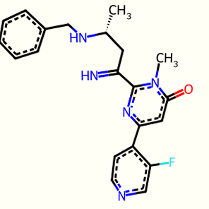 C[C@H](CC(=N)c1nc(-c2ccncc2F)cc(=O)n1C)NCc1ccccc1